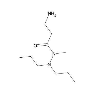 CCCN(CCC)N(C)C(=O)CCN